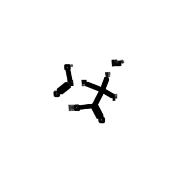 O=C(O)C(F)(F)F.O=N[O-].[Na+]